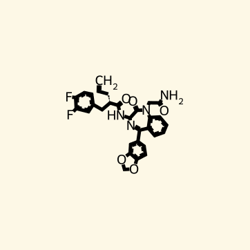 C=CC[C@@H](Cc1ccc(F)c(F)c1)C(=O)NC1N=C(c2ccc3c(c2)OCO3)c2ccccc2N(CC(N)=O)C1=O